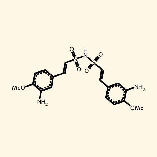 COc1ccc(C=CS(=O)(=O)NS(=O)(=O)C=Cc2ccc(OC)c(N)c2)cc1N